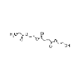 C=CC(=O)OCCOC(=O)CCC(=O)OCCO